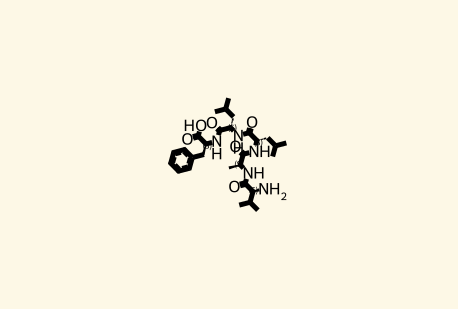 CC(C)C[C@H](NC(=O)[C@H](C)NC(=O)[C@@H](N)C(C)C)C(=O)N[C@@H](CC(C)C)C(=O)N[C@@H](Cc1ccccc1)C(=O)O